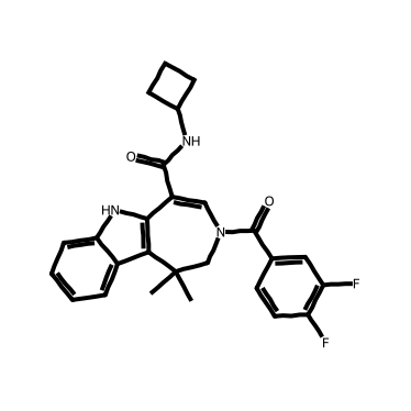 CC1(C)CN(C(=O)c2ccc(F)c(F)c2)C=C(C(=O)NC2CCC2)c2[nH]c3ccccc3c21